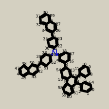 c1ccc(-c2c(-c3ccccc3)c3cc(-c4cccc(N(c5ccc(-c6ccc7ccccc7c6)cc5)c5ccc(-c6ccc7ccccc7c6)cc5)c4)ccc3c3ccccc23)cc1